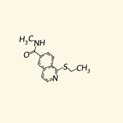 CCSc1nccc2cc(C(=O)NC)ccc12